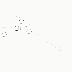 O=C(O)CCOCCOCCOCCOCCCc1cccc(C(=O)Nc2ccc(Cl)cc2-c2cc(C(=O)NC3CCCc4ccccc43)ccn2)c1